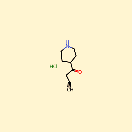 C#CCC(=O)C1CCNCC1.Cl